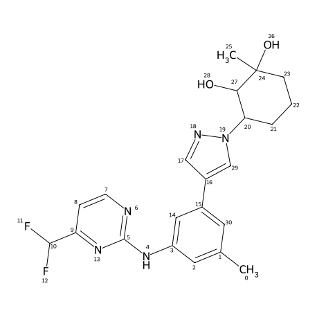 Cc1cc(Nc2nccc(C(F)F)n2)cc(-c2cnn(C3CCCC(C)(O)C3O)c2)c1